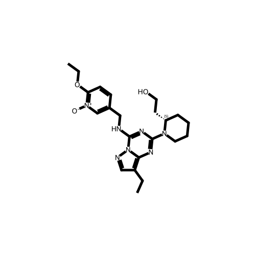 CCOc1ccc(CNc2nc(N3CCCC[C@H]3CCO)nc3c(CC)cnn23)c[n+]1[O-]